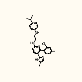 Cc1ccc(-c2nc(NCCNc3ccc(C(C)C)cn3)ncc2-c2ncc(C)[nH]2)c(Cl)c1